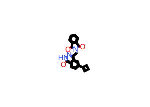 O=C1c2ccccc2C(=O)N1Cc1n[nH]c(=O)c2ccc(C3=CCC3)cc12